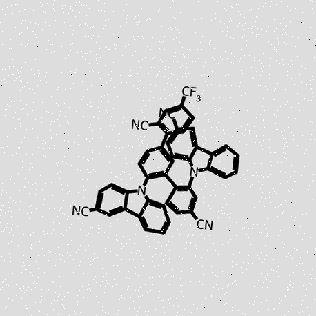 N#Cc1ccc(-c2cc(-c3ccc(C(F)(F)F)cc3C#N)ccc2-n2c3ccccc3c3cc(C#N)ccc32)c(-n2c3ccccc3c3cc(C#N)ccc32)c1